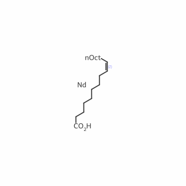 CCCCCCCC/C=C\CCCCCCCC(=O)O.[Nd]